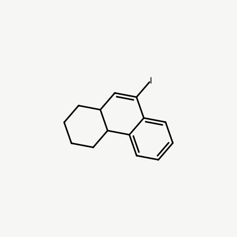 IC1=CC2CCCCC2c2ccccc21